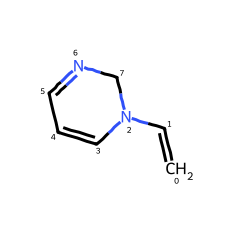 C=CN1C=CC=NC1